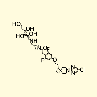 O=C(Cc1c(F)cc(OCCC2CCC23CCN(c2ncc(Cl)cn2)CC3)cc1F)N1CC(CNC[C@H](O)[C@@H](O)[C@H](O)CCO)C1